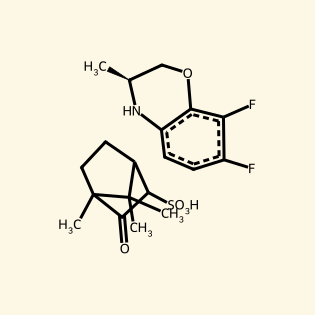 CC12CCC(C(S(=O)(=O)O)C1=O)C2(C)C.C[C@H]1COc2c(ccc(F)c2F)N1